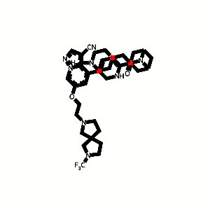 CN1CCN(CC(=O)N2C3CC2CN(C2=CC=C(c4cc(OCCN5CCC6(CCN(C(F)(F)F)C6)C5)cn5ncc(C#N)c45)CN2)C3)CC1